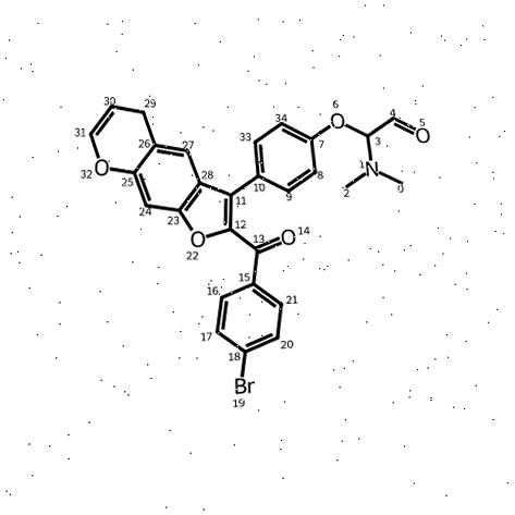 CN(C)C(C=O)Oc1ccc(-c2c(C(=O)c3ccc(Br)cc3)oc3cc4c(cc23)CC=CO4)cc1